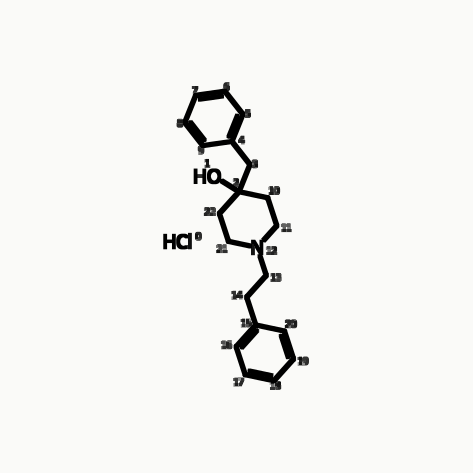 Cl.OC1(Cc2ccccc2)CCN(CCc2ccccc2)CC1